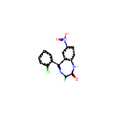 O=C1Nc2ccc([N+](=O)[O-])cc2C(c2ccccc2Cl)=NC1F